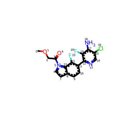 COCC(=O)n1ccc2ccc(-c3ncc(Cl)c(N)c3F)c(F)c21